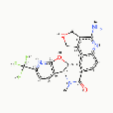 CN(C(=O)c1ccc2nc(N)c3c(c2c1)COC3)[C@H]1COc2nc(C(F)(F)F)ccc21